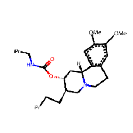 COc1cc2c(cc1OC)[C@H]1C[C@@H](OC(=O)NCC(C)C)[C@H](CCC(C)C)CN1CC2